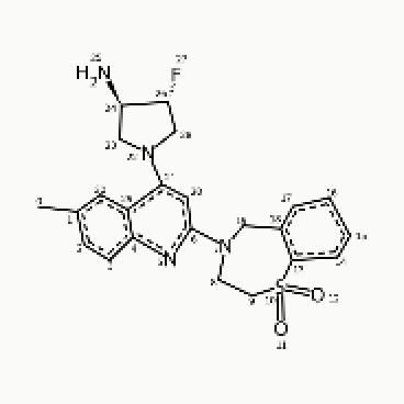 Cc1ccc2nc(N3CCS(=O)(=O)c4ccccc4C3)cc(N3C[C@@H](N)[C@H](F)C3)c2c1